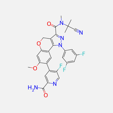 COc1cc2c(cc1-c1cc(C(N)=O)ncc1F)-c1c(c(C(=O)N(C)C(C)(C)C#N)nn1-c1cc(F)cc(F)c1)CO2